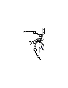 CC/C=C(/CN(C)CC(=O)ON(OC(=O)c1cc(C#Cc2ccc(CCCCCCCC)cc2)cc(CNCC)n1)OC(=O)c1cc(C#Cc2ccc(CCCCCCCC)cc2)cc(CN(CC)CI)n1)NC